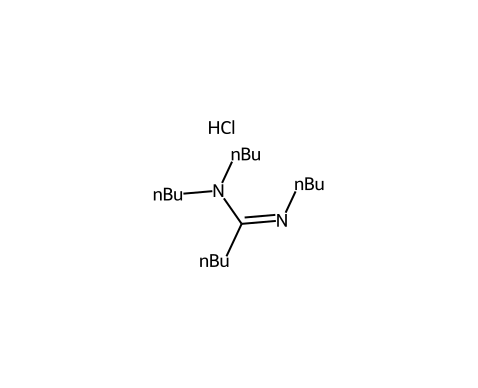 CCCCN=C(CCCC)N(CCCC)CCCC.Cl